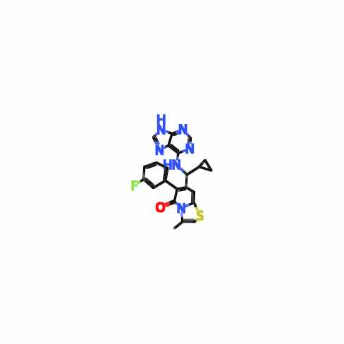 Cc1csc2cc(C(Nc3ncnc4[nH]cnc34)C3CC3)c(-c3cccc(F)c3)c(=O)n12